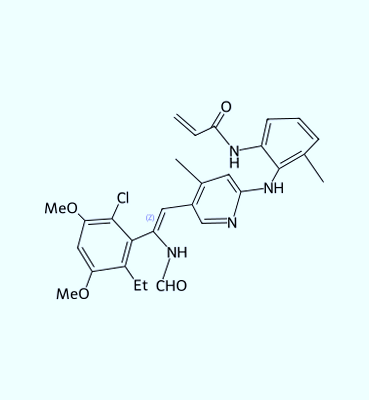 C=CC(=O)Nc1cccc(C)c1Nc1cc(C)c(/C=C(\NC=O)c2c(Cl)c(OC)cc(OC)c2CC)cn1